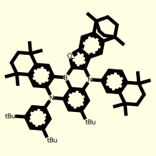 CC(C)(C)c1cc(N2c3cc4c(cc3B3c5oc6cc7c(cc6c5N(c5ccc6c(c5)C(C)(C)CCC6(C)C)c5cc(C(C)(C)C)cc2c53)C2(C)CCC7(C)CC2)C(C)(C)CCC4(C)C)cc(C(C)(C)C)c1